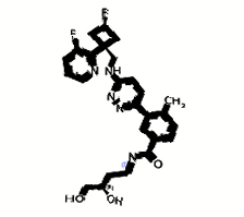 Cc1ccc(C(=O)/N=C/C[C@@H](O)CO)cc1-c1ccc(NC[C@]2(c3ncccc3F)C[C@H](F)C2)nn1